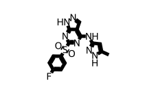 Cc1cc(Nc2nc(S(=O)(=O)c3ccc(F)cc3)nc3[nH]ncc23)n[nH]1